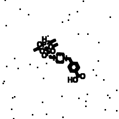 CCOC(OCC)([PH2]=O)P(=O)(CN1CCN(Cc2ccc(C(=O)O)cc2)CC1)OCC